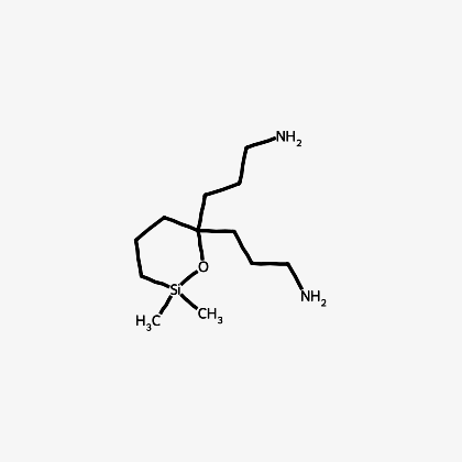 C[Si]1(C)CCCC(CCCN)(CCCN)O1